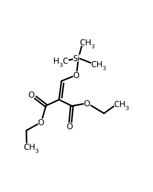 CCOC(=O)C(=CO[Si](C)(C)C)C(=O)OCC